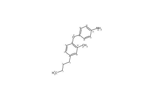 CCCCc1ccc(Oc2ccc(N)cc2)c(C)c1